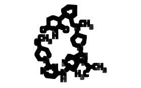 COC1CCN(c2nccc(Nc3cc4c(cn3)c(N3CCC(N(C)Cc5ccccc5C5CCC(=O)NC5=O)CC3)nn4C(C)C)n2)CC1